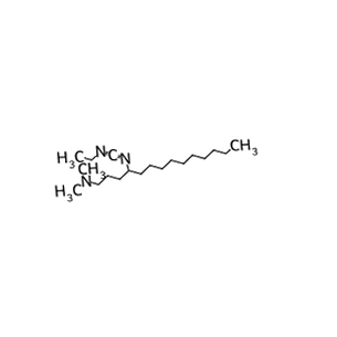 CCCCCCCCCCC(CCCN(C)C)N=C=NCC